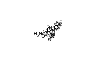 NC(=O)COc1ccnc(Nc2ccc(C(F)(F)F)cc2)c1-c1noc(=O)[nH]1